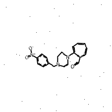 O=CC1C=CC=CC=C1N1CCN(Cc2ccc([N+](=O)[O-])cc2)CC1